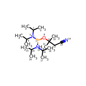 CC(C)N(C(C)C)P(OC(C)(C)CC#N)N(C(C)C)C(C)C